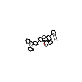 C1=CCNC(c2ccc3c(c2)Oc2ccc(-c4ccc5c(c4)c4ccccc4n5-c4ccccc4)cc2C32c3ccccc3Oc3ccccc32)=C1